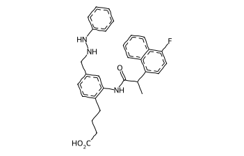 CC(C(=O)Nc1cc(CNNc2ccccc2)ccc1CCCC(=O)O)c1ccc(F)c2ccccc12